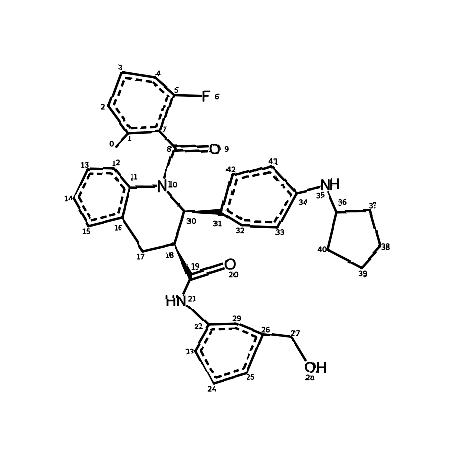 Cc1cccc(F)c1C(=O)N1c2ccccc2C[C@H](C(=O)Nc2cccc(CO)c2)[C@@H]1c1ccc(NC2CCCC2)cc1